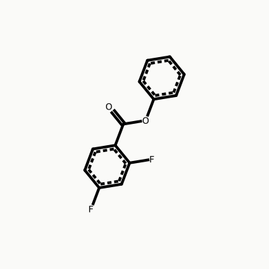 O=C(Oc1ccccc1)c1ccc(F)cc1F